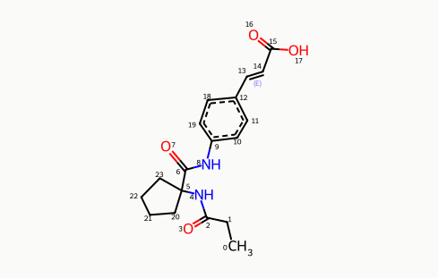 CCC(=O)NC1(C(=O)Nc2ccc(/C=C/C(=O)O)cc2)CCCC1